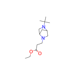 CCOC(=O)CCN1CC2CC1CN2C(C)(C)C